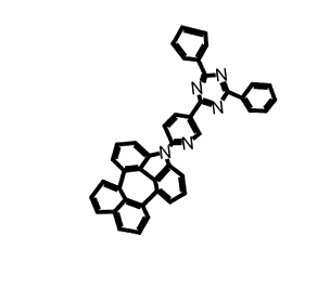 c1ccc(-c2nc(-c3ccccc3)nc(-c3ccc(-n4c5cccc6c5c5c(cccc54)-c4cccc5cccc-6c45)nc3)n2)cc1